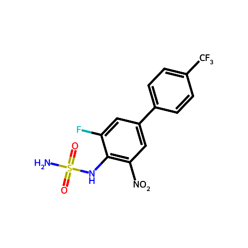 NS(=O)(=O)Nc1c(F)cc(-c2ccc(C(F)(F)F)cc2)cc1[N+](=O)[O-]